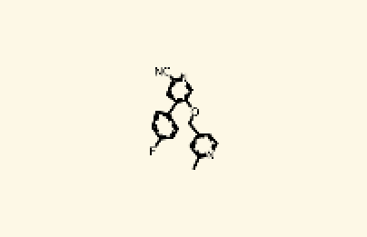 Cc1cc(COc2cnc(C#N)cc2-c2ccc(F)cc2)ccn1